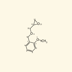 COc1ccccc1COCC1CO1